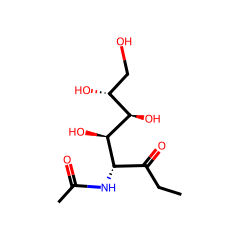 CCC(=O)[C@H](NC(C)=O)[C@@H](O)[C@H](O)[C@H](O)CO